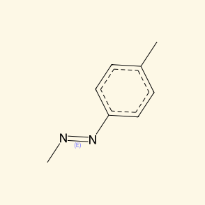 C/N=N/c1ccc(C)cc1